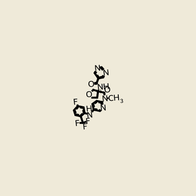 CN(C(=O)[C@]1(NC(=O)c2cncnc2)CCOC1)c1ccc(Nc2cc(F)ccc2C(F)(F)F)cn1